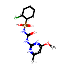 COc1cc(C)nc(NC(=O)NS(=O)(=O)C2CCCCC2Cl)n1